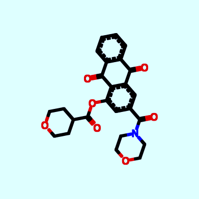 O=C1c2ccccc2C(=O)c2c(OC(=O)C3CCOCC3)cc(C(=O)N3CCOCC3)cc21